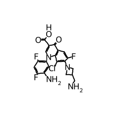 NCC1CN(c2c(F)cc3c(=O)c(C(=O)O)cn(-c4cc(N)c(F)cc4F)c3c2Cl)C1